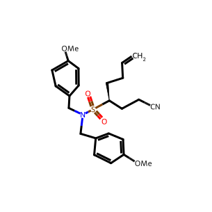 C=CCC[C@@H](CCC#N)S(=O)(=O)N(Cc1ccc(OC)cc1)Cc1ccc(OC)cc1